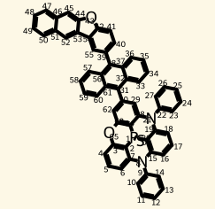 S=P12c3c4cccc3N(c3ccccc3)c3cccc(c31)N(c1ccccc1)c1cc(-c3c5ccccc5c(-c5ccc6oc7cc8ccccc8cc7c6c5)c5ccccc35)cc(c12)O4